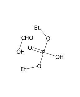 CCOP(=O)(O)OCC.O=CO